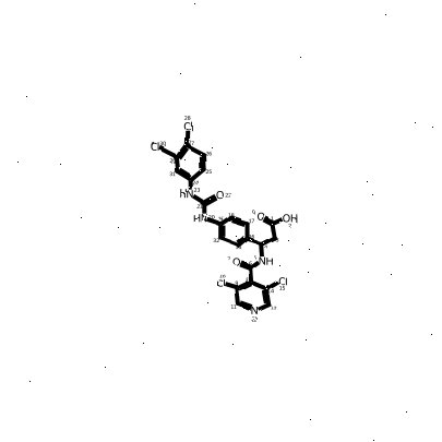 O=C(O)CC(NC(=O)c1c(Cl)cncc1Cl)c1ccc(NC(=O)Nc2ccc(Cl)c(Cl)c2)cc1